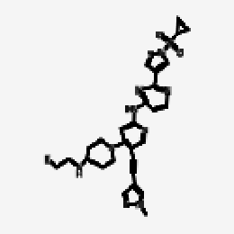 Cn1cc(C#Cc2cnc(Nc3ccnc(-c4cnn(S(=O)(=O)C5CC5)c4)n3)cc2N2CCC(NCCF)CC2)cn1